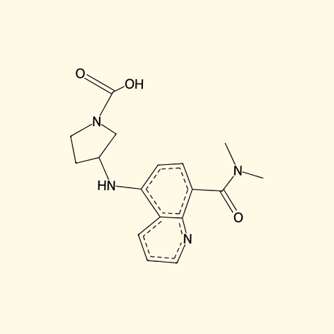 CN(C)C(=O)c1ccc(NC2CCN(C(=O)O)C2)c2cccnc12